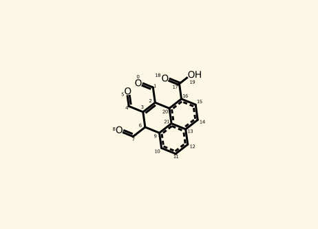 O=CC1=C(C=O)C(C=O)c2cccc3ccc(C(=O)O)c1c23